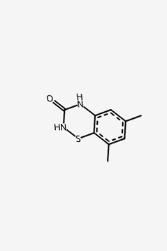 Cc1cc(C)c2c(c1)NC(=O)NS2